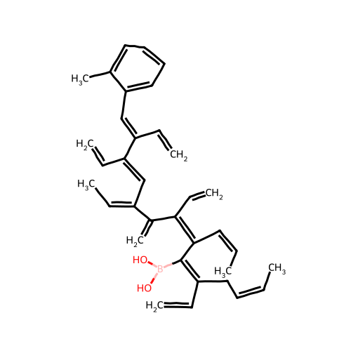 C=C/C(C(=C)C(=C/C)/C=C(C=C)/C(C=C)=C/c1ccccc1C)=C(\C=C/C)C(/B(O)O)=C(/C=C)C/C=C\C